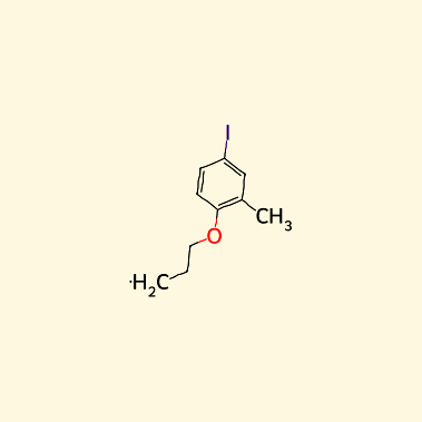 [CH2]CCOc1ccc(I)cc1C